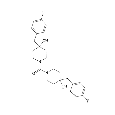 O=C(N1CCC(O)(Cc2ccc(F)cc2)CC1)N1CCC(O)(Cc2ccc(F)cc2)CC1